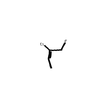 C/C=C(/CC)CF